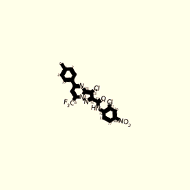 Cc1ccc(-c2cc(C(F)(F)F)n3nc(C(=O)Nc4ccc([N+](=O)[O-])cc4Cl)c(Cl)c3n2)cc1